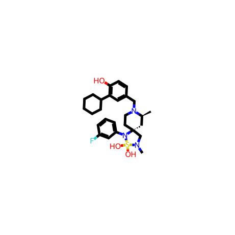 C[C@H]1C[C@]2(CCN1Cc1ccc(O)c(C3CCCCC3)c1)CN(C)S(O)(O)N2c1cccc(F)c1